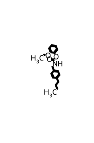 CCCCc1ccc(CNC(=O)Oc2ccccc2OCC)cc1